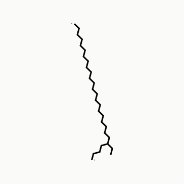 [CH2]CCCCCCCCCCCCCCCCCCCCCC(CC)CCC[CH2]